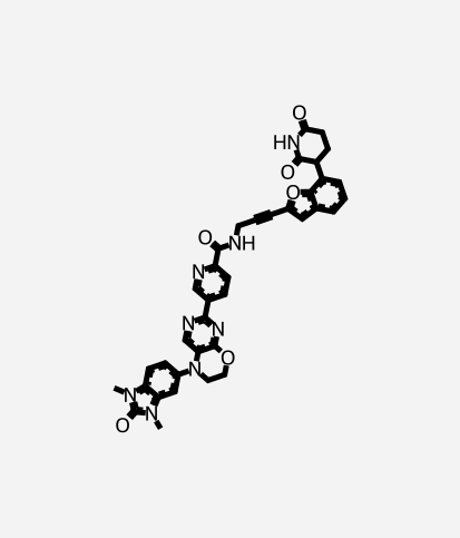 Cn1c(=O)n(C)c2cc(N3CCOc4nc(-c5ccc(C(=O)NCC#Cc6cc7cccc(C8CCC(=O)NC8=O)c7o6)nc5)ncc43)ccc21